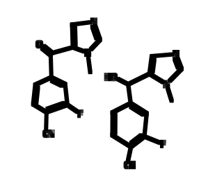 Cn1cncc1C(=O)c1ccc(C#N)c(F)c1.Cn1cncc1C(O)c1ccc(C#N)c(F)c1